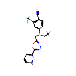 N#Cc1ccc(N(Cc2nnc(-c3cccc(Br)n3)o2)CC(F)(F)F)cc1C(F)(F)F